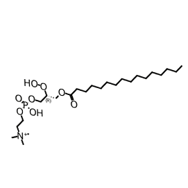 CCCCCCCCCCCCCCCC(=O)OC[C@H](COP(=O)(O)OCC[N+](C)(C)C)OO